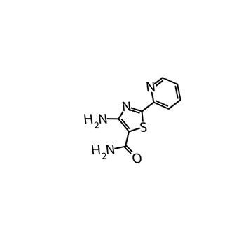 NC(=O)c1sc(-c2ccccn2)nc1N